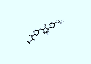 CN(C(=O)C1CC1)c1ccc(CC(N)C(=O)Nc2ccc(C(=O)O)cc2)cc1